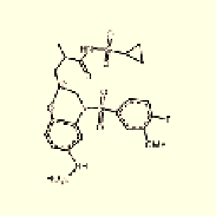 COc1cc(S(=O)(=O)N2C[C@H](CC(C)C(=O)NS(=O)(=O)C3CC3)Oc3ccc(NC(=O)O)cc32)ccc1F